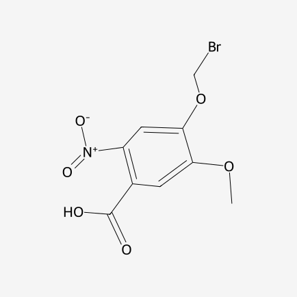 COc1cc(C(=O)O)c([N+](=O)[O-])cc1OCBr